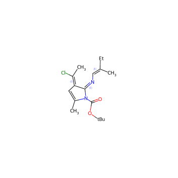 CC/C(C)=C/N=C1\C(=C(/C)Cl)C=C(C)N1C(=O)OC(C)(C)C